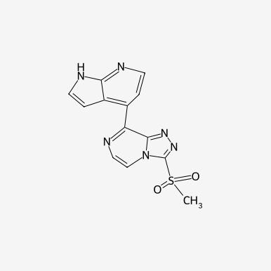 CS(=O)(=O)c1nnc2c(-c3ccnc4[nH]ccc34)nccn12